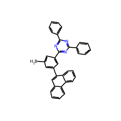 Bc1cc(-c2nc(-c3ccccc3)nc(-c3ccccc3)n2)cc(-c2cc3ccccc3c3ccccc23)c1